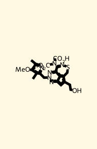 COc1c(C)cnc(Cn2nc3cc(CCO)c4c-3c(n2)C(N(C(=O)O)C(=O)O)=NSC4)c1C